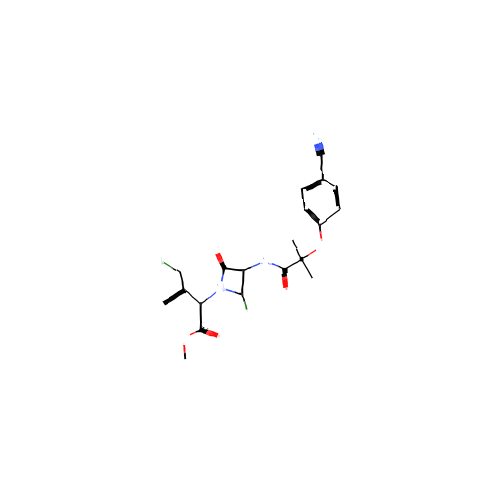 C=C(CCl)C(C(=O)OC)N1C(=O)C(NC(=O)C(C)(C)Oc2ccc(C#N)cc2)C1Cl